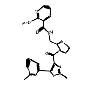 COc1ncccc1C(=O)NCC1SCCN1C(=O)c1nc(C)sc1-c1cccc(C)c1